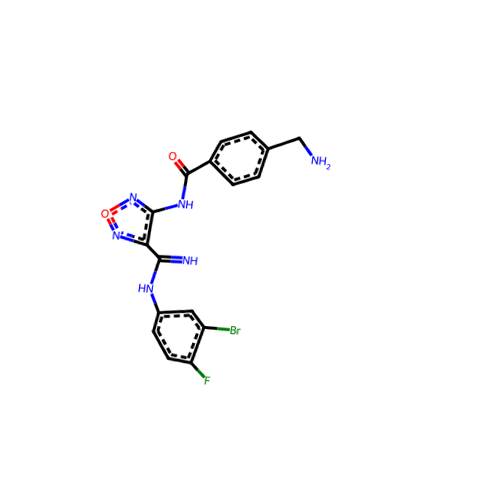 N=C(Nc1ccc(F)c(Br)c1)c1nonc1NC(=O)c1ccc(CN)cc1